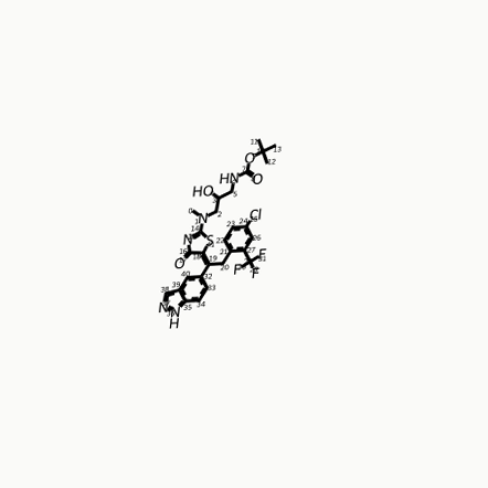 CN(CC(O)CNC(=O)OC(C)(C)C)C1=NC(=O)C(=C(Cc2ccc(Cl)cc2C(F)(F)F)c2ccc3[nH]ncc3c2)S1